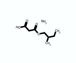 CCC(C)COC(=O)CC(=O)O.N